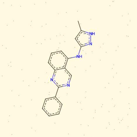 Cc1cc(Nc2cccc3nc(-c4ccccc4)ncc23)n[nH]1